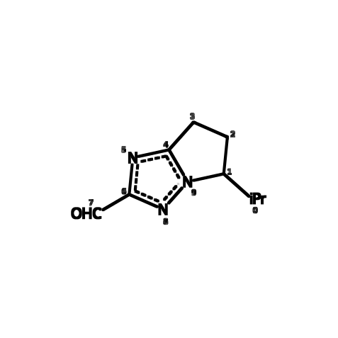 CC(C)C1CCc2nc(C=O)nn21